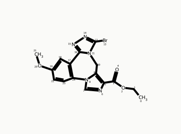 CCOC(=O)c1ncn2c1Cn1c(Br)nnc1-c1cc(OC)ccc1-2